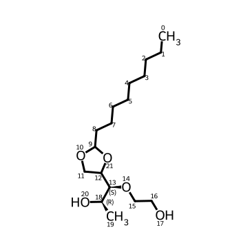 CCCCCCCCCC1OCC([C@@H](OCCO)[C@@H](C)O)O1